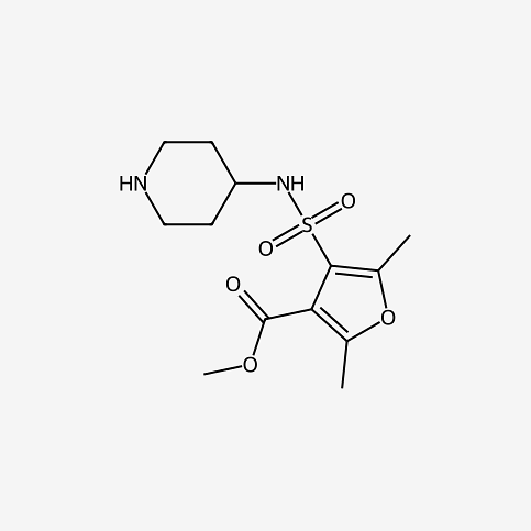 COC(=O)c1c(C)oc(C)c1S(=O)(=O)NC1CCNCC1